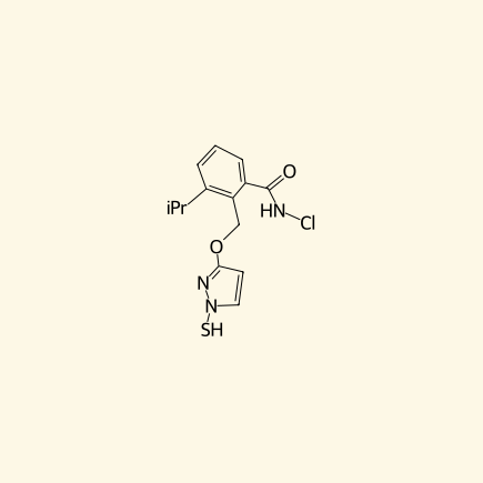 CC(C)c1cccc(C(=O)NCl)c1COc1ccn(S)n1